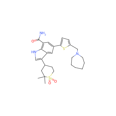 CC1(C)CC(c2c[nH]c3c(C(N)=O)cc(-c4ccc(CN5CCCCCC5)s4)cc23)CCS1(=O)=O